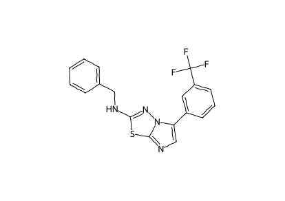 FC(F)(F)c1cccc(-c2cnc3sc(NCc4ccccc4)nn23)c1